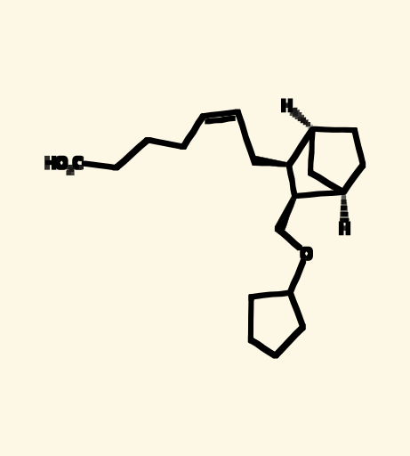 O=C(O)CCC/C=C\C[C@H]1[C@H]2CC[C@H](C2)[C@H]1COC1CCCC1